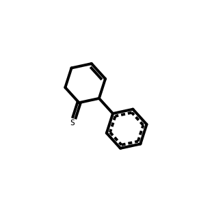 S=C1CCC=CC1c1ccccc1